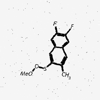 COOSc1cc2cc(F)c(F)cc2cc1C